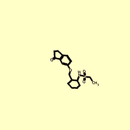 CCS(=O)(=O)NC1CCCCC1COc1ccc2c(c1)C(=O)CC2